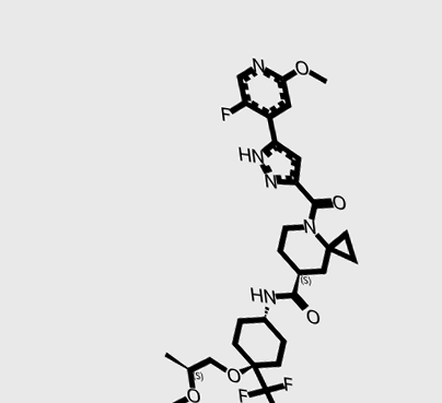 COc1cc(-c2cc(C(=O)N3CC[C@H](C(=O)N[C@H]4CC[C@@](OC[C@H](C)OC)(C(F)(F)F)CC4)CC34CC4)n[nH]2)c(F)cn1